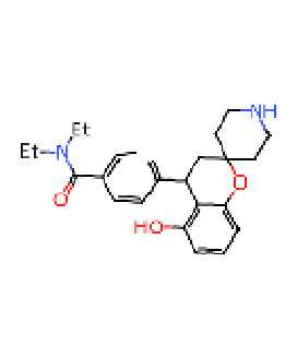 C=C(/C=C\C(=C/C)C(=O)N(CC)CC)C1CC2(CCNCC2)Oc2cccc(O)c21